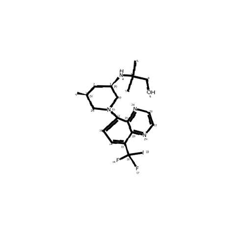 C[C@H]1C[C@@H](NC(C)(C)CO)CN(c2ccc(C(F)(F)I)c3nccnc23)C1